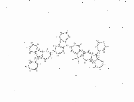 CC1(C)c2cc(-n3c4ccccc4c4cc(-c5ccc6c(c5)c5ccccc5n6-c5ccccc5)ccc43)ccc2-c2cc3c(cc21)c1ccccc1n3-c1ccccc1